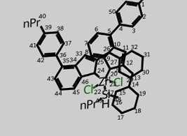 CCCc1ccc(-c2cccc3c2C=C(CC2CCCCC2)[CH]3[Zr]([Cl])([Cl])([CH]2C(CC3CCCCC3)=Cc3c(-c4ccc(CCC)cc4)cccc32)[SiH](C)CCC)cc1